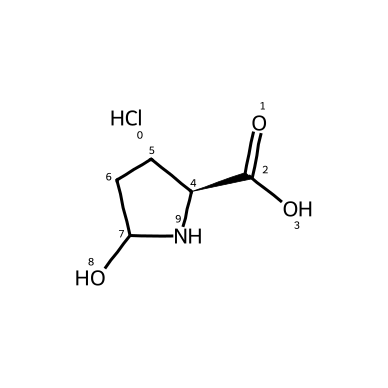 Cl.O=C(O)[C@@H]1CCC(O)N1